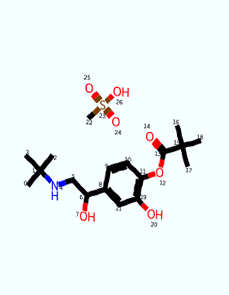 CC(C)(C)NCC(O)c1ccc(OC(=O)C(C)(C)C)c(O)c1.CS(=O)(=O)O